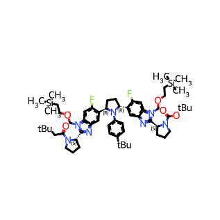 CC(C)(C)CC(=O)N1CCC[C@H]1c1nc2cc([C@H]3CC[C@H](c4cc5nc([C@@H]6CCCN6C(=O)OC(C)(C)C)n(COCC[Si](C)(C)C)c5cc4F)N3c3ccc(C(C)(C)C)cc3)c(F)cc2n1COCC[Si](C)(C)C